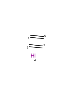 C=C.C=C.I